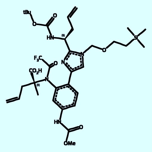 C=CC[C@H](NC(=O)OC(C)(C)C)c1nc(-c2ccc(NC(=O)OC)cc2N(C(=O)C(F)(F)F)[C@](C)(CC=C)C(=O)O)cn1COCC[Si](C)(C)C